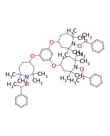 CC(ON1C(C)(C)CCC(Oc2cc(OC3CCC(C)(C)N(OC(C)c4ccccc4)C(C)(C)C3)cc(OC3CCC(C)(C)N(OC(C)c4ccccc4)C(C)(C)C3)c2)CC1(C)C)c1ccccc1